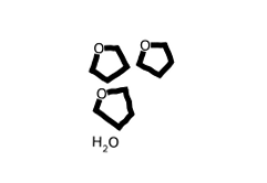 C1CCOC1.C1CCOC1.C1CCOC1.O